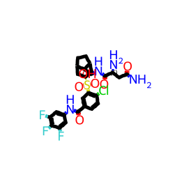 NC(=O)C[C@H](N)C(=O)NC[C@]1(O)C2CCC1C[C@@H](S(=O)(=O)c1cc(C(=O)Nc3cc(F)c(F)c(F)c3)ccc1Cl)C2